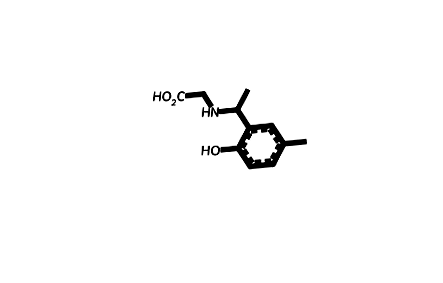 Cc1ccc(O)c(C(C)NCC(=O)O)c1